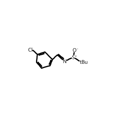 CC(C)(C)[S+]([O-])/N=C/c1cccc(Cl)c1